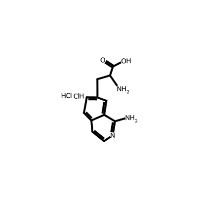 Cl.Cl.Nc1nccc2ccc(CC(N)C(=O)O)cc12